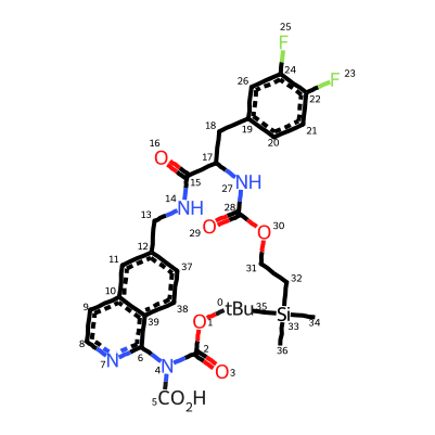 CC(C)(C)OC(=O)N(C(=O)O)c1nccc2cc(CNC(=O)C(Cc3ccc(F)c(F)c3)NC(=O)OCC[Si](C)(C)C)ccc12